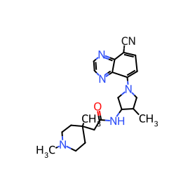 CC1CN(c2ccc(C#N)c3nccnc23)CC1NC(=O)CC1(C)CCN(C)CC1